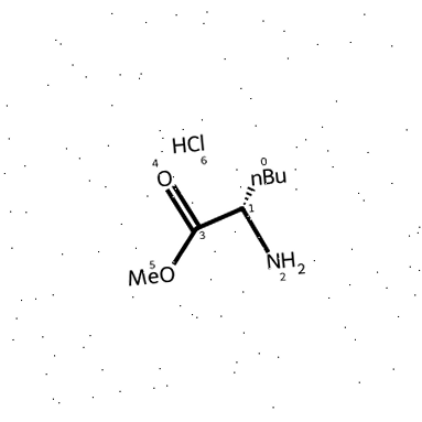 CCCC[C@H](N)C(=O)OC.Cl